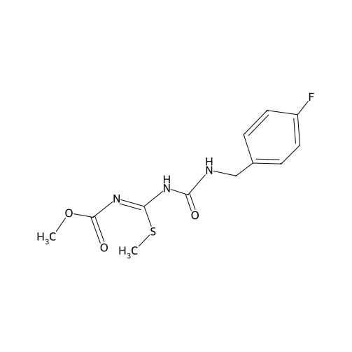 COC(=O)/N=C(/NC(=O)NCc1ccc(F)cc1)SC